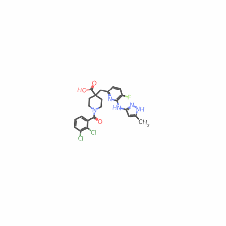 Cc1cc(Nc2nc(CC3(C(=O)O)CCN(C(=O)c4cccc(Cl)c4Cl)CC3)ccc2F)n[nH]1